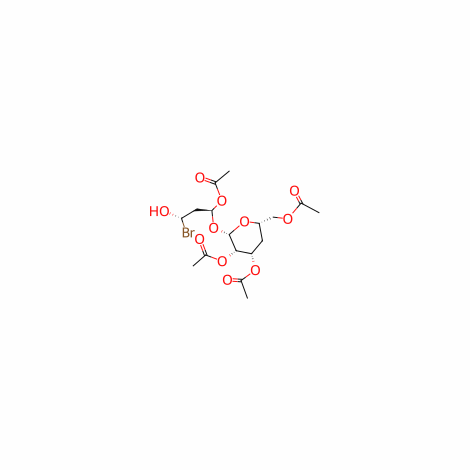 CC(=O)OC[C@@H]1C[C@H](OC(C)=O)[C@H](OC(C)=O)[C@H](O[C@@H](C[C@@H](O)Br)OC(C)=O)O1